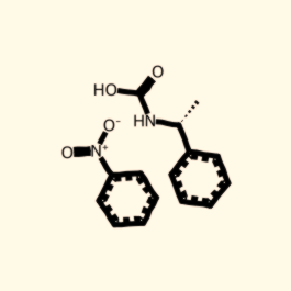 C[C@@H](NC(=O)O)c1ccccc1.O=[N+]([O-])c1ccccc1